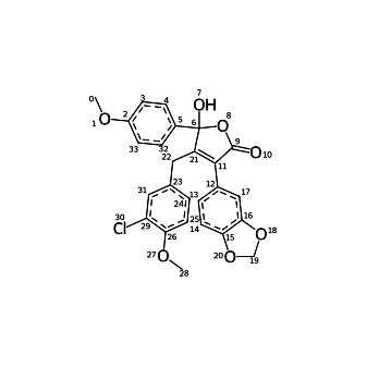 COc1ccc(C2(O)OC(=O)C(c3ccc4c(c3)OCO4)=C2Cc2ccc(OC)c(Cl)c2)cc1